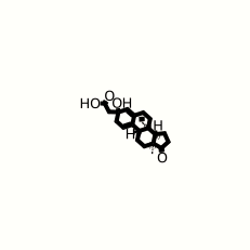 C=C[C@@]12CCC3=CC(O)(CC(=O)O)CC=C3[C@H]1CC[C@]1(C)C(=O)CC[C@@H]21